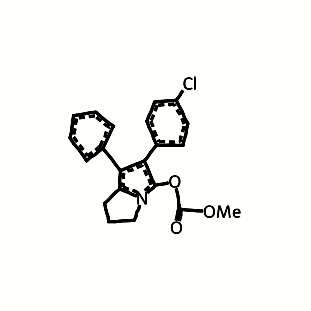 COC(=O)Oc1c(-c2ccc(Cl)cc2)c(-c2ccccc2)c2n1CCC2